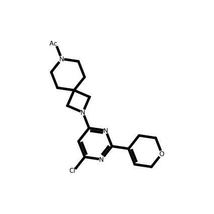 CC(=O)N1CCC2(CC1)CN(c1cc(Cl)nc(C3=CCOCC3)n1)C2